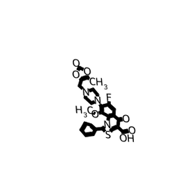 COc1c(N2CCN(Cc3oc(=O)oc3C)CC2)c(F)cc2c(=O)c(C(=O)O)c3n(c12)C(c1ccccc1)S3